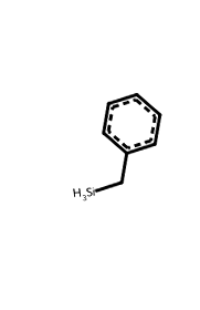 [SiH3]Cc1ccccc1